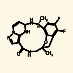 C[C@H]1NC2C=Cn3ncc(c3N2)C(=O)NCC2(C)Cc3c(F)c(F)cc1c3O2